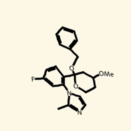 COC1CCOC(OCc2ccccc2)(c2ccc(F)cc2-n2ccnc2C)C1